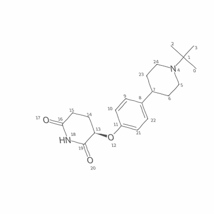 CC(C)(C)N1CCC(c2ccc(O[C@@H]3CCC(=O)NC3=O)cc2)CC1